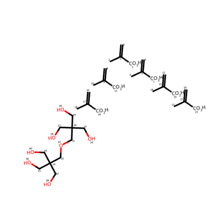 C=C(C)C(=O)O.C=C(C)C(=O)O.C=C(C)C(=O)O.C=C(C)C(=O)O.C=C(C)C(=O)O.C=C(C)C(=O)O.OCC(CO)(CO)COCC(CO)(CO)CO